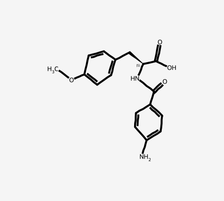 COc1ccc(C[C@H](NC(=O)c2ccc(N)cc2)C(=O)O)cc1